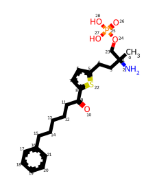 CC(N)(CCc1ccc(C(=O)CCCCCc2ccccc2)s1)COP(=O)(O)O